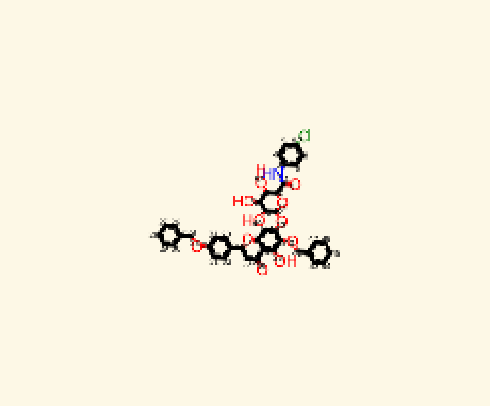 O=C(Nc1ccc(Cl)cc1)C1OC(Oc2cc3oc(-c4ccc(OCc5ccccc5)cc4)cc(=O)c3c(O)c2OCc2ccccc2)C(O)C(O)C1O